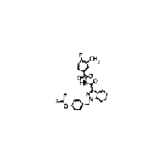 Cc1cc(S(=O)(=O)NC(=O)c2nn(Cc3ccc(OC(F)F)cc3)c3ccccc23)ccc1F